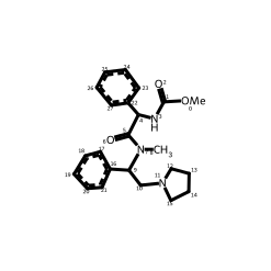 COC(=O)NC(C(=O)N(C)C(CN1CCCC1)c1ccccc1)c1ccccc1